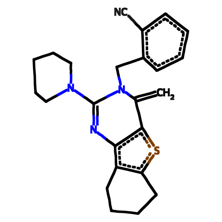 C=C1c2sc3c(c2N=C(N2CCCCC2)N1Cc1ccccc1C#N)CCCC3